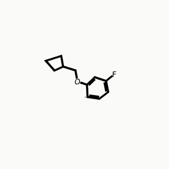 Fc1cc[c]c(OCC2CCC2)c1